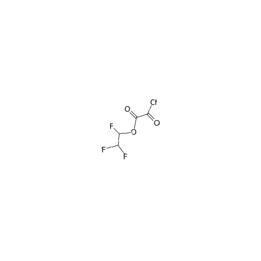 O=C(Cl)C(=O)OC(F)C(F)F